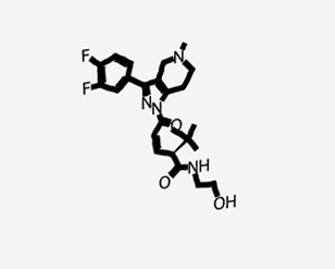 CN1CCc2c(c(-c3ccc(F)c(F)c3)nn2C(=O)/C=C\[C@H](C(=O)NCCO)C(C)(C)C)C1